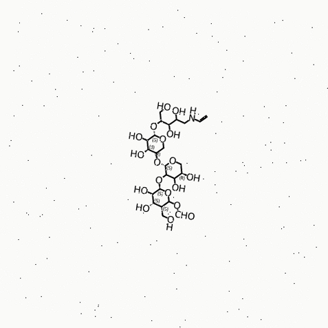 C=CNCC(O)C(O)C(CO)O[C@@H]1OC[C@@H](O[C@@H]2OC[C@@H](O)C(O)C2O[C@H]2OC(OC=O)[C@@H](CO)[C@H](O)C2O)[C@@H](O)C1O